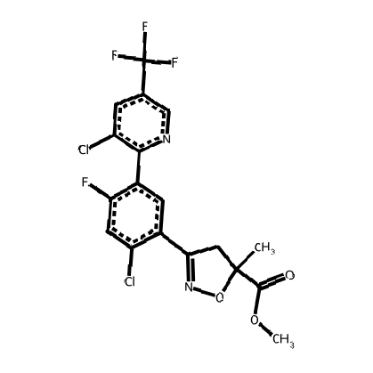 COC(=O)C1(C)CC(c2cc(-c3ncc(C(F)(F)F)cc3Cl)c(F)cc2Cl)=NO1